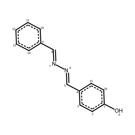 Oc1ccc(C=NN=Cc2ccccc2)cc1